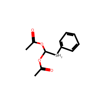 CC(=O)OC(OC(C)=O)[SiH2]c1ccccc1